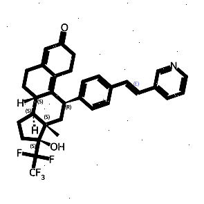 C[C@]12C[C@H](c3ccc(/C=C/c4cccnc4)cc3)C3=C4CCC(=O)C=C4CC[C@H]3[C@@H]1CC[C@@]2(O)C(F)(F)C(F)(F)F